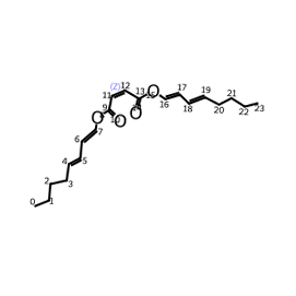 CCCCC=CC=COC(=O)/C=C\C(=O)OC=CC=CCCCC